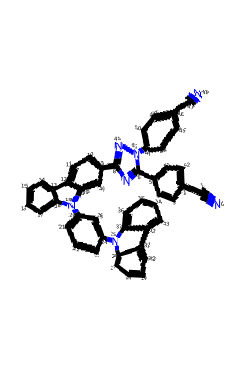 N#Cc1ccc(-c2nc(-c3ccc4c5ccccc5n(-c5cccc(-n6c7ccccc7c7ccccc76)c5)c4c3)nn2-c2ccc(C#N)cc2)cc1